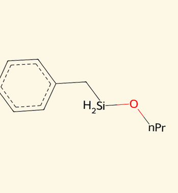 CCCO[SiH2]Cc1ccccc1